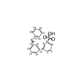 O=S(=O)(O)c1ccccc1.c1ccc(Sc2ccccc2)cc1